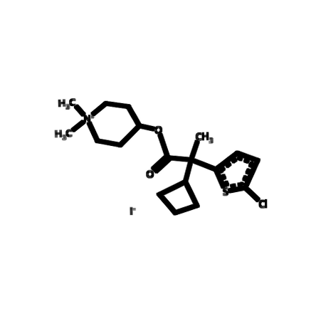 CC(C(=O)OC1CC[N+](C)(C)CC1)(c1ccc(Cl)s1)C1CCC1.[I-]